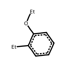 CCOc1ccccc1CC